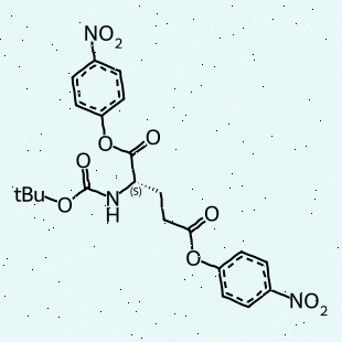 CC(C)(C)OC(=O)N[C@@H](CCC(=O)Oc1ccc([N+](=O)[O-])cc1)C(=O)Oc1ccc([N+](=O)[O-])cc1